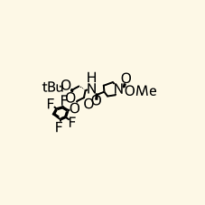 COC(=O)N1CCC(C(=O)N[C@@H](CC(=O)OC(C)(C)C)C(=O)COc2c(F)c(F)cc(F)c2F)CC1